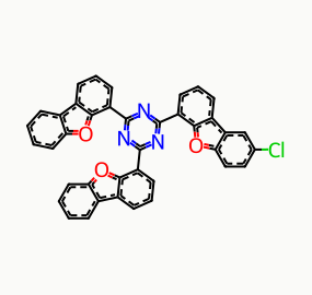 Clc1ccc2oc3c(-c4nc(-c5cccc6c5oc5ccccc56)nc(-c5cccc6c5oc5ccccc56)n4)cccc3c2c1